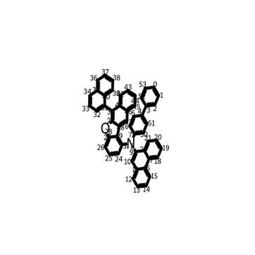 c1ccc(-c2ccc(N(c3cc4ccccc4c4ccccc34)c3cccc4oc5c(-c6cccc7ccccc67)c6ccccc6cc5c34)cc2)cc1